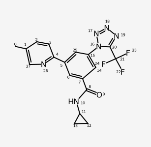 Cc1ccc(-c2cc(C(=O)NC3CC3)cc(-n3nnnc3C(F)(F)F)c2)nc1